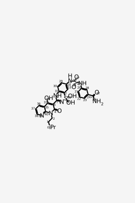 CC(C)CCn1c(=O)c(C2=NS(O)(O)c3cc(NS(=O)(=O)Nc4cccc(C(N)=O)c4)ccc3N2)c(O)c2cccnc21